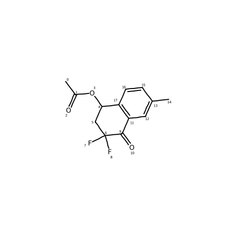 CC(=O)OC1CC(F)(F)C(=O)c2cc(C)ccc21